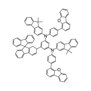 CC1(C)c2ccccc2-c2ccc(N(c3ccc(-c4cccc5c4oc4ccccc45)cc3)c3cc(C4C=CC5=C(C4)C4(c6ccccc65)c5ccccc5-c5ccccc54)cc(N(c4ccc(-c5cccc6c5oc5ccccc56)cc4)c4ccc5c(c4)C(C)(C)c4ccccc4-5)c3)cc21